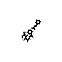 C=C(/C=C/c1ccccc1)C[C@H]1C[C@H](O)C[C@@](C)(C(=C)CCC(C)C(C)C(C)C(C)CC)C1